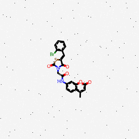 Cc1cc(=O)oc2cc(NC(=O)CN3C(=O)S/C(=C\c4ccccc4Br)C3=O)ccc12